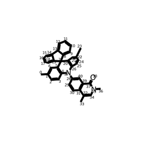 Cc1ccc2c(c1)C1(c3ccccc3-c3ccccc31)c1cc(C)ccc1N2c1ccc2c(C)cn(C)c(=O)c2c1